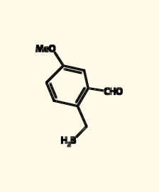 BCc1ccc(OC)cc1C=O